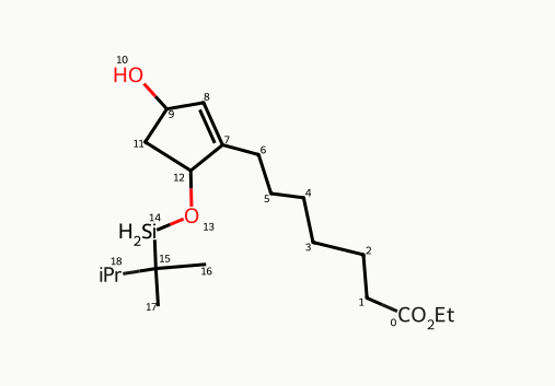 CCOC(=O)CCCCCCC1=CC(O)CC1O[SiH2]C(C)(C)C(C)C